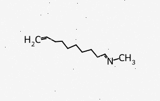 C=CCCCCCCC/C=N/C